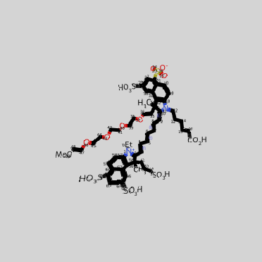 CC[N+]1=C(/C=C/C=C/C=C/C=C2/N(CCCCCC(=O)O)c3ccc4c(S(=O)(=O)[O-])cc(S(=O)(=O)O)cc4c3C2(C)CCOCCOCCOCCOCCOC)C(C)(CCCS(=O)(=O)O)c2c1ccc1c(S(=O)(=O)O)cc(S(=O)(=O)O)cc21